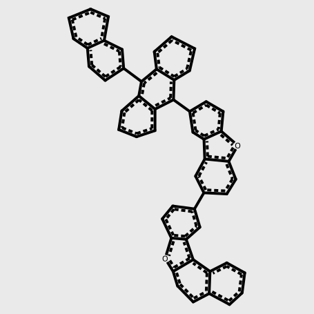 c1ccc2cc(-c3c4ccccc4c(-c4ccc5oc6ccc(-c7ccc8oc9ccc%10ccccc%10c9c8c7)cc6c5c4)c4ccccc34)ccc2c1